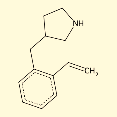 C=Cc1ccccc1CC1CCNC1